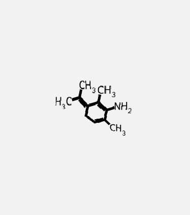 CC1=CCC(=C(C)C)C(C)=C1N